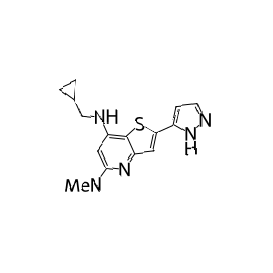 CNc1cc(NCC2CC2)c2sc(-c3ccn[nH]3)cc2n1